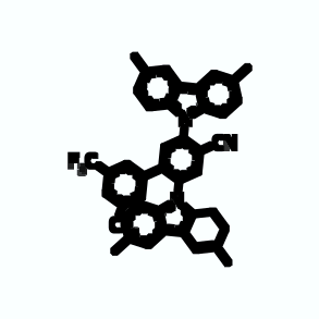 CC1=Cc2c(n(-c3cc(C#N)c(-n4c5ccc(C)cc5c5cc(C)ccc54)cc3-c3cc(C(F)(F)F)cc(C(F)(F)F)c3)c3ccc(C)cc23)CC1